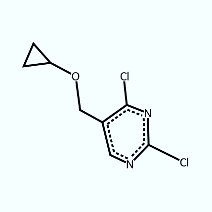 Clc1ncc(COC2CC2)c(Cl)n1